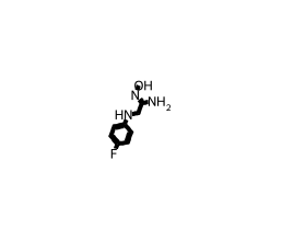 NC(CNc1ccc(F)cc1)=NO